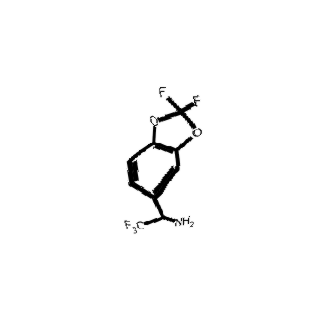 NC(c1ccc2c(c1)OC(F)(F)O2)C(F)(F)F